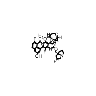 C=Cc1c(F)ccc2cc(O)cc(-c3nc4c5c(nc(OC[C@@]67CCCN6C[C@H](F)C7)nc5c3F)N3[C@@H](CCO[C@@H]5C[C@@H]53)CO4)c12